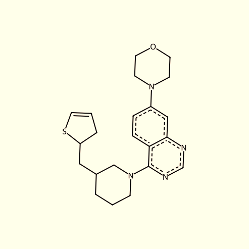 C1=CSC(CC2CCCN(c3ncnc4cc(N5CCOCC5)ccc34)C2)C1